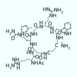 CC(=O)N[C@@H](CCCNC(=N)N)C(=O)N[C@H]1CC(=O)NCCCC[C@@H](CN)NC(=O)[C@H](Cc2c[nH]c3ccccc23)NC(=O)[C@H](CCCNC(=N)N)NC(=O)[C@@H](Cc2ccccc2)NC(=O)[C@H](CCCNC(N)=O)NC1=O